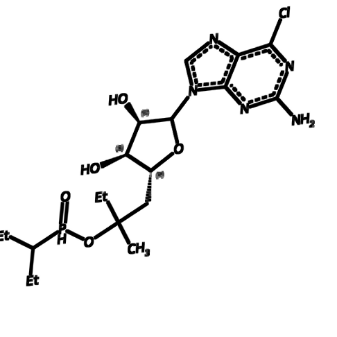 CCC(CC)[PH](=O)OC(C)(CC)C[C@H]1OC(n2cnc3c(Cl)nc(N)nc32)[C@H](O)[C@@H]1O